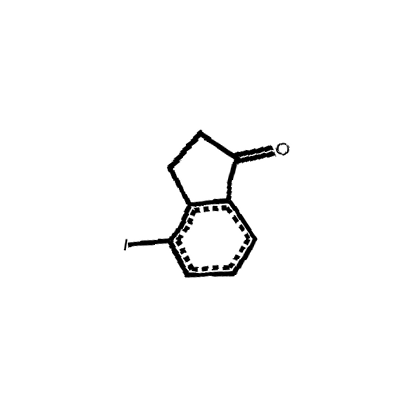 O=C1CCc2c(I)cccc21